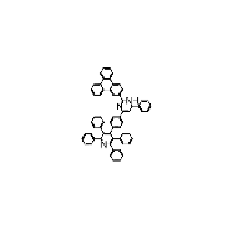 C1=C(c2ccc(-c3c(-c4ccccc4)c(-c4ccccc4)nc(-c4ccccc4)c3-c3ccccc3)cc2)N=C(c2ccc3c4ccccc4c4ccccc4c3c2)NC1c1ccccc1